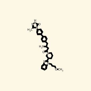 COCCCn1c(C2CCCN(C(=O)CC(N)Cc3ccc(-c4ccc(-n5c(C)n[nH]c5=O)cc4)cc3)C2)nc2ccccc21